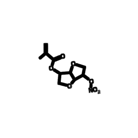 C=C(C)C(=O)OC1COC2C(O[N+](=O)[O-])COC12